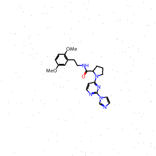 COc1ccc(OC)c(CCNC(=O)C2CCCN2c2ccnc(-n3ccnc3)n2)c1